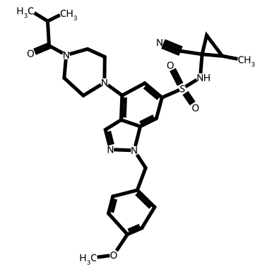 COc1ccc(Cn2ncc3c(N4CCN(C(=O)C(C)C)CC4)cc(S(=O)(=O)NC4(C#N)CC4C)cc32)cc1